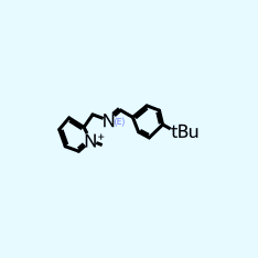 C[n+]1ccccc1C/N=C/c1ccc(C(C)(C)C)cc1